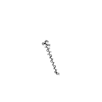 CCOCCOCCOCCOCCOCCNC(=O)C(C)C